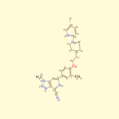 Cc1cc(-c2cc3c(nnn3C)c(C#N)n2)ccc1OCCC1CCN(c2ccc(F)cn2)CC1